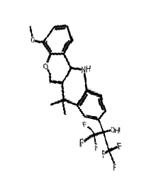 COc1cccc2c1OCC1C2Nc2ccc(C(O)(C(F)(F)F)C(F)(F)F)cc2C1(C)C